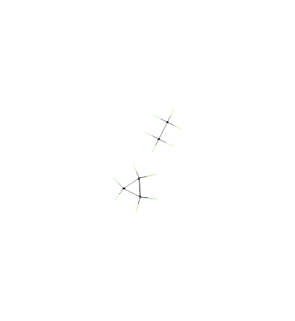 FC(F)(F)C(F)(F)F.FC1(F)C(F)(F)C1(F)F